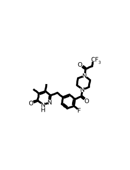 Cc1c(Cc2ccc(F)c(C(=O)N3CCN(C(=O)CC(F)(F)F)CC3)c2)n[nH]c(=O)c1C